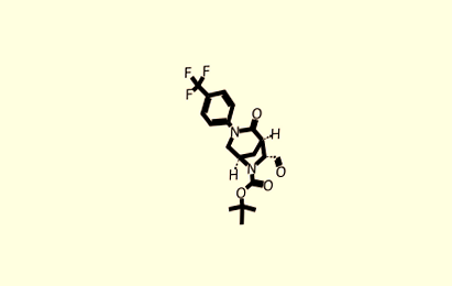 CC(C)(C)OC(=O)N1[C@@H]2C[C@@H](C(=O)N(c3ccc(C(F)(F)F)cc3)C2)[C@@H]1C=O